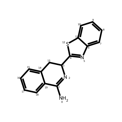 NC1=NC(c2nc3ccccc3s2)Cc2ccccc21